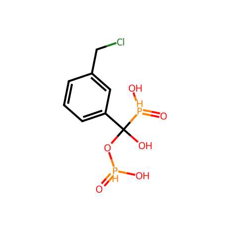 O=[PH](O)OC(O)(c1cccc(CCl)c1)[PH](=O)O